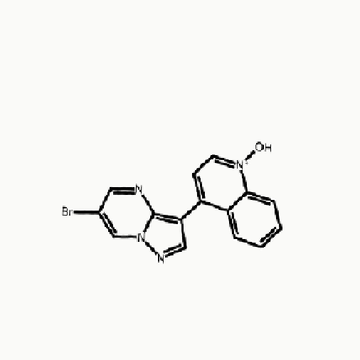 O[n+]1ccc(-c2cnn3cc(Br)cnc23)c2ccccc21